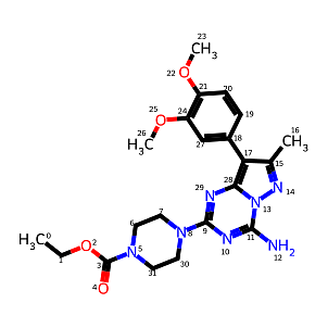 CCOC(=O)N1CCN(c2nc(N)n3nc(C)c(-c4ccc(OC)c(OC)c4)c3n2)CC1